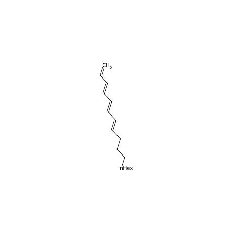 C=C/C=C/C=C/C=C/CCCC[CH]CCCC